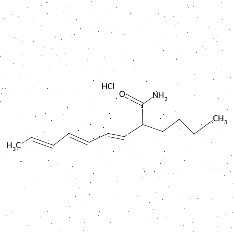 CC=CC=CC=CC(CCCC)C(N)=O.Cl